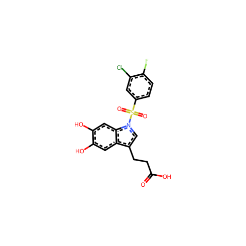 O=C(O)CCc1cn(S(=O)(=O)c2ccc(F)c(Cl)c2)c2cc(O)c(O)cc12